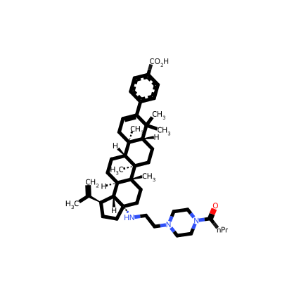 C=C(C)[C@@H]1CC[C@]2(NCCN3CCN(C(=O)CCC)CC3)CC[C@]3(C)[C@H](CC[C@@H]4[C@@]5(C)CC=C(c6ccc(C(=O)O)cc6)C(C)(C)[C@@H]5CC[C@]43C)[C@@H]12